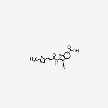 Cc1ccc(C=CC(=O)Nc2sc3c(c2C#N)CCN(C(=O)O)C3)s1